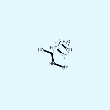 CCCNCO.CO.CO.O